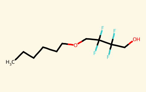 CCCCCCOCC(F)(F)C(F)(F)CO